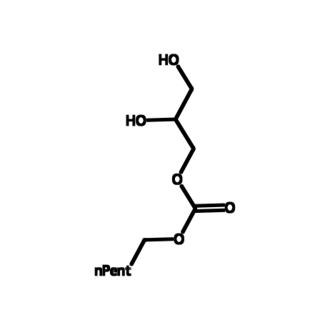 CCCCCCOC(=O)OCC(O)CO